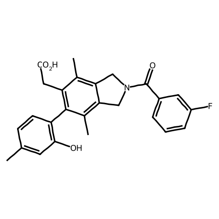 Cc1ccc(-c2c(C)c3c(c(C)c2CC(=O)O)CN(C(=O)c2cccc(F)c2)C3)c(O)c1